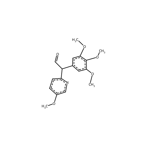 COc1ccc(C(C=O)c2cc(OC)c(OC)c(OC)c2)nc1